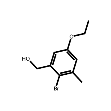 CCOc1cc(C)c(Br)c(CO)c1